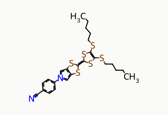 CCCCCSC1=C(SCCCCC)SC(=C2Sc3cn(-c4ccc(C#N)cc4)cc3S2)S1